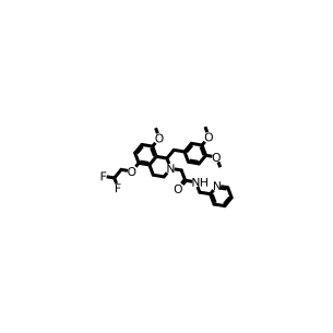 COc1ccc(CC2c3c(OC)ccc(OCC(F)F)c3CCN2CC(=O)NCc2ccccn2)cc1OC